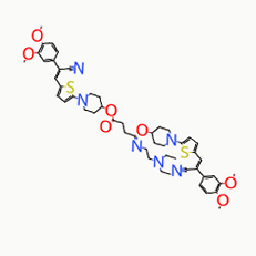 CCN(CC)CCN=C(CCC(=O)OC1CCN(c2ccc(C=C(C#N)c3ccc(OC)c(OC)c3)s2)CC1)OC1CCN(c2ccc(C=C(C#N)c3ccc(OC)c(OC)c3)s2)CC1